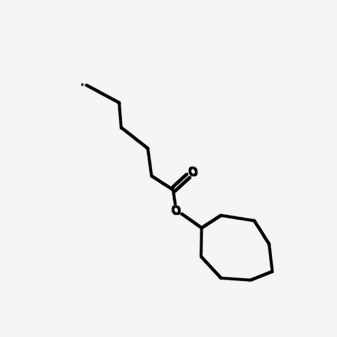 [CH2]CCCCC(=O)OC1CCCCCCC1